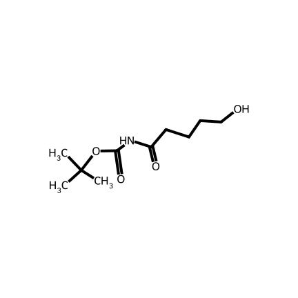 CC(C)(C)OC(=O)NC(=O)CCCCO